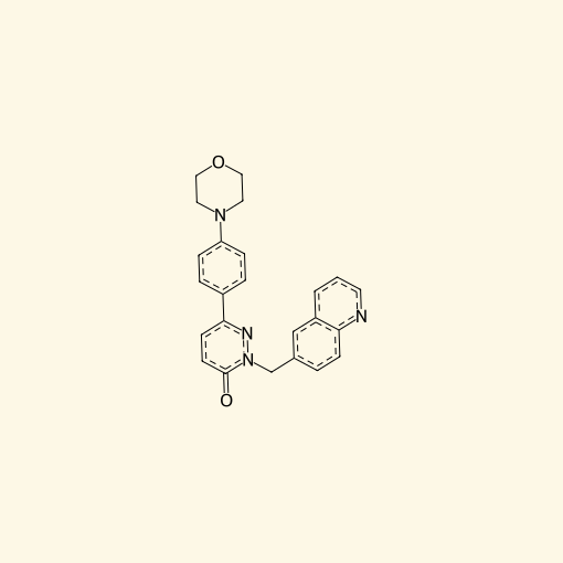 O=c1ccc(-c2ccc(N3CCOCC3)cc2)nn1Cc1ccc2ncccc2c1